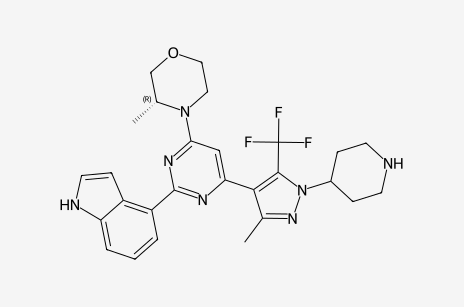 Cc1nn(C2CCNCC2)c(C(F)(F)F)c1-c1cc(N2CCOC[C@H]2C)nc(-c2cccc3[nH]ccc23)n1